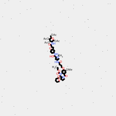 C=CCOC(=O)N1c2cc(OCCCC(=O)Nc3cc(C(O)Nc4ccc5oc(C(=O)NC6C(OC(C)=O)OC(COC(C)=O)C(OC(C)=O)C6OC(C)=O)cc5c4)n(C)c3)c(OC)cc2C(=O)N2CCC[C@H]2C1OC1CCCCO1